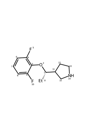 CC[C@H](Oc1c(F)cccc1F)C1CCNC1